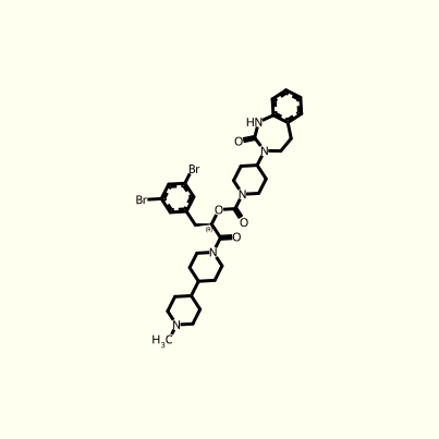 CN1CCC(C2CCN(C(=O)[C@@H](Cc3cc(Br)cc(Br)c3)OC(=O)N3CCC(N4CCc5ccccc5NC4=O)CC3)CC2)CC1